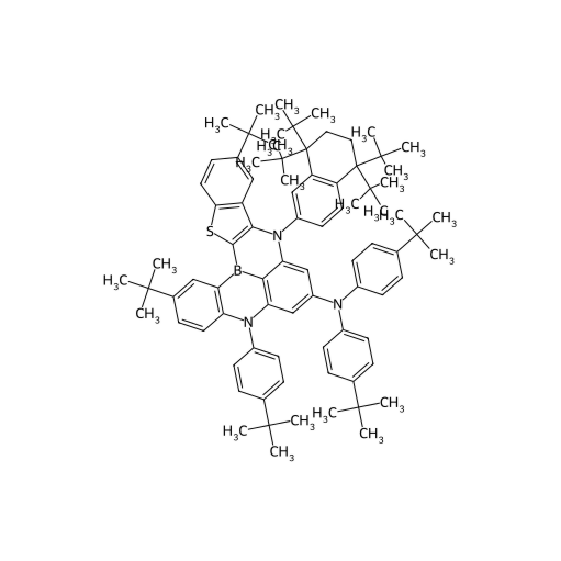 CC(C)(C)c1ccc(N(c2ccc(C(C)(C)C)cc2)c2cc3c4c(c2)N(c2ccc5c(c2)C(C(C)(C)C)(C(C)(C)C)CCC5(C(C)(C)C)C(C)(C)C)c2c(sc5ccc(C(C)(C)C)cc25)B4c2cc(C(C)(C)C)ccc2N3c2ccc(C(C)(C)C)cc2)cc1